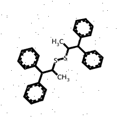 CC(SSC(C)C(c1ccccc1)c1ccccc1)C(c1ccccc1)c1ccccc1